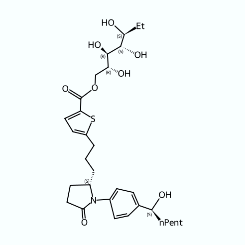 CCCCC[C@H](O)c1ccc(N2C(=O)CC[C@@H]2CCCc2ccc(C(=O)OC[C@@H](O)[C@@H](O)[C@@H](O)[C@@H](O)CC)s2)cc1